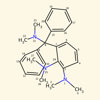 CN(C)c1cccc(C(c2ccccc2)(c2ccccc2)N(C)C)c1N(C)C